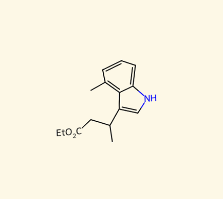 CCOC(=O)CC(C)c1c[nH]c2cccc(C)c12